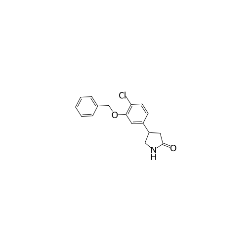 O=C1CC(c2ccc(Cl)c(OCc3ccccc3)c2)CN1